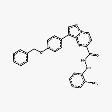 Nc1ccccc1NNC(=O)c1ccn2ncc(-c3ccc(OCc4ccccc4)cc3)c2n1